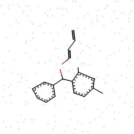 C=CC=COC(c1ccccc1)c1ccc(C)cc1OC